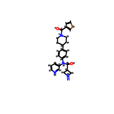 O=C(c1ccsc1)N1CCC(c2ccc(N(C(=O)C3CNC3)c3cccnc3)cc2)CC1